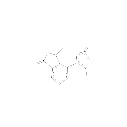 C[C]1OC(=O)c2cccc(-c3oc(=O)oc3C)c21